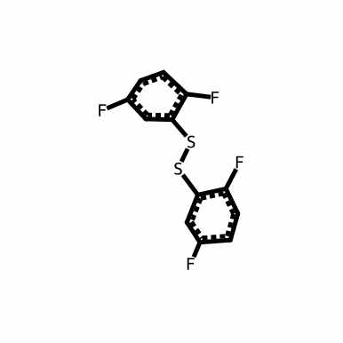 Fc1ccc(F)c(SSc2cc(F)ccc2F)c1